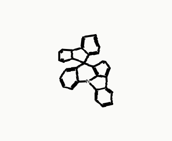 C1=CC2c3ccccc3C3(c4ccccc4-n4c5ccccc5c5cccc3c54)C2C=C1